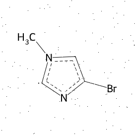 Cn1[c]nc(Br)c1